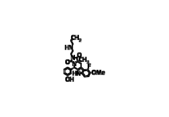 C=CCNCCN1C(=O)N2[C@H](c3cccc(O)c3)c3[nH]c4ccc(OC)c(F)c4c3C[C@@]2(C)C1=O